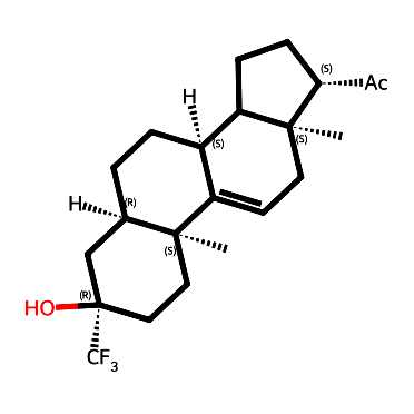 CC(=O)[C@H]1CCC2[C@@H]3CC[C@@H]4C[C@@](O)(C(F)(F)F)CC[C@]4(C)C3=CC[C@@]21C